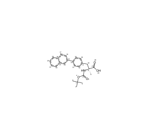 CC(C)(C)OC(=O)N[C@@](C)(Cc1ccc(-c2cnc3ccccc3c2)cc1)C(=O)O